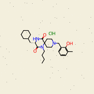 CCCCN1C(=O)[C@H](CC2CCCCC2)NC(=O)C12CCN(Cc1cccc(C)c1O)CC2.Cl